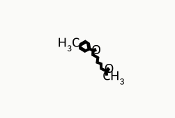 CC(=O)CCCCCC(=O)c1ccc(C)cc1